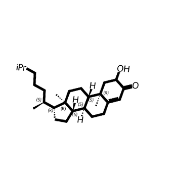 CC(C)CCC[C@H](C)[C@H]1CC[C@H]2[C@@H]3CCC4=CC(=O)C(O)C[C@]4(C)[C@H]3CC[C@]12C